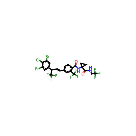 O=C(NC1(C(=O)NCC(F)(F)F)CC1)c1ccc(/C=C/C(c2cc(Br)c(Cl)c(Br)c2)C(F)(F)F)cc1C(F)(F)F